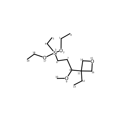 CCO[Si](CC)(CCC(OC)C1(CC)COC1)OCC